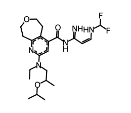 CCN(CC(C)OC(C)C)c1cc(C(=O)NC(=N)/C=C\NC(F)F)c2c(n1)CCOCC2